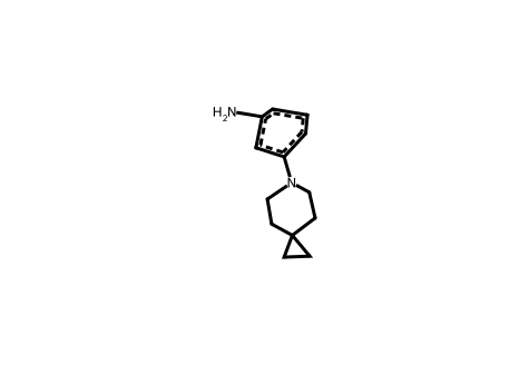 Nc1cccc(N2CCC3(CC2)CC3)c1